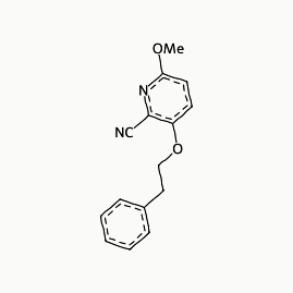 COc1ccc(OCCc2ccccc2)c(C#N)n1